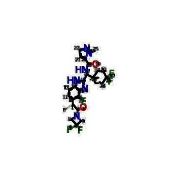 C[C@@H](C(=O)N1CC(F)(F)C1)c1ccc2[nH]c([C@@H](NC(=O)c3ccnn3C)C3CCC(F)(F)CC3)nc2c1F